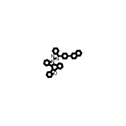 c1ccc2cc(-c3ccc(-c4nc(-n5c6ccccc6c6c7c8ccccc8oc7c7ccccc7c65)nc5ccccc45)cc3)ccc2c1